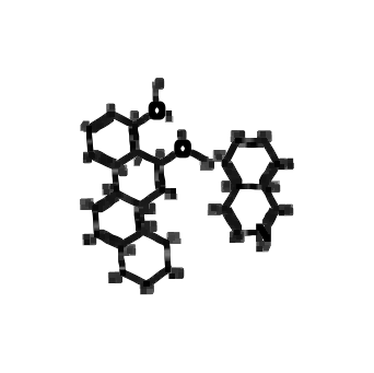 COc1cccc2c1c(OC)cc1c3c(ccc12)CCCC3.c1ccc2cnccc2c1